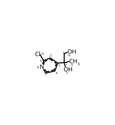 CC(O)(CO)c1ccnc(Cl)c1